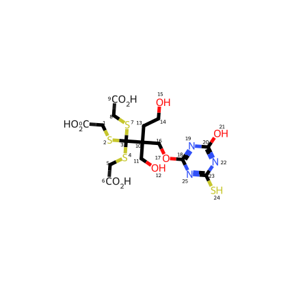 O=C(O)CSC(SCC(=O)O)(SCC(=O)O)C(CO)(CCO)COc1nc(O)nc(S)n1